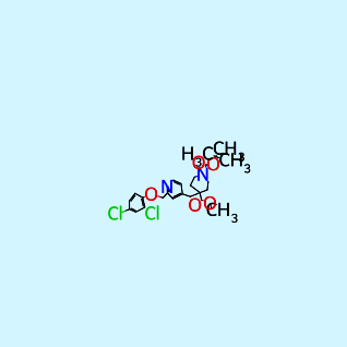 COC(=O)C1(Cc2ccnc(COc3ccc(Cl)cc3Cl)c2)CCN(C(=O)OC(C)(C)C)CC1